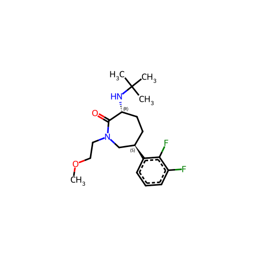 COCCN1C[C@H](c2cccc(F)c2F)CC[C@@H](NC(C)(C)C)C1=O